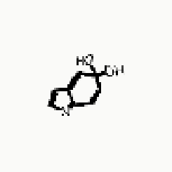 OC1(O)C=CC2=NC=CC2=C1